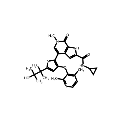 Cc1ccnc(C)c1Oc1cc(C(C)(C)C(C)(C)O)sc1-c1cn(C)c(=O)c2[nH]c(C(=O)NC3CC3)cc12